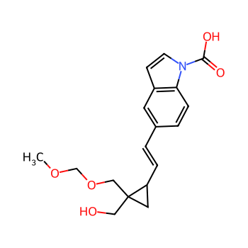 COCOCC1(CO)CC1/C=C/c1ccc2c(ccn2C(=O)O)c1